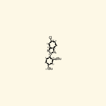 CC(C)(C)c1ccc(-n2nc3ccc(Cl)cc3n2)c(C(C)(C)C)c1